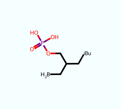 BCC(COP(=O)(O)O)CC(C)CC